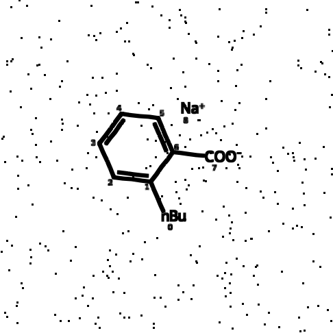 CCCCc1ccccc1C(=O)[O-].[Na+]